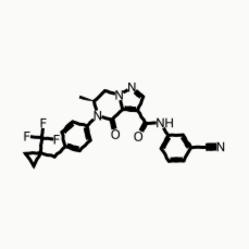 C[C@H]1Cn2ncc(C(=O)Nc3cccc(C#N)c3)c2C(=O)N1c1ccc(CC2(C(F)(F)F)CC2)cc1